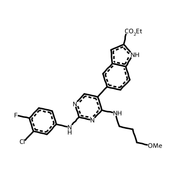 CCOC(=O)c1cc2cc(-c3cnc(Nc4ccc(F)c(Cl)c4)nc3NCCCOC)ccc2[nH]1